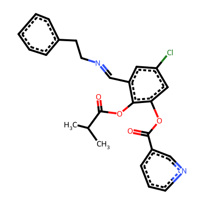 CC(C)C(=O)Oc1c(C=NCCc2ccccc2)cc(Cl)cc1OC(=O)c1cccnc1